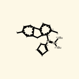 Cc1ccc2c(c1)Cc1c-2ccc(C)[c]1[Zr]([C]1=CC=CC1)=[Si](C(C)(C)C)C(C)(C)C